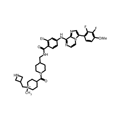 CCc1cc(Nc2nccn3c(-c4ccc(OC)c(F)c4F)cnc23)ccc1C(=O)NCC1CCN(C(=O)C2CC[N+](C)(CC3CNC3)CC2)CC1